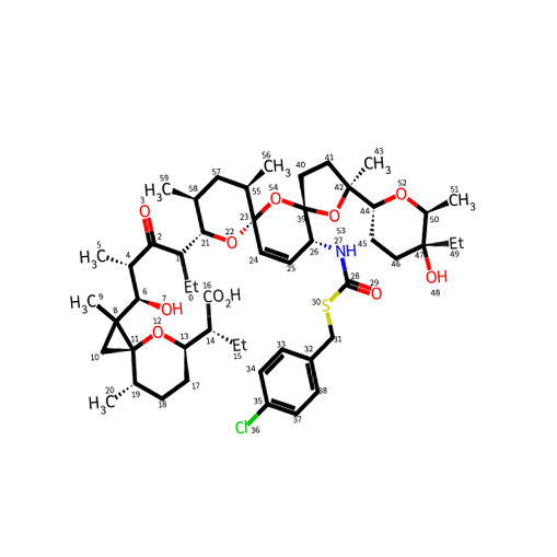 CCC(C(=O)[C@@H](C)[C@@H](O)C1(C)C[C@]12O[C@@H]([C@@H](CC)C(=O)O)CC[C@@H]2C)[C@H]1O[C@]2(C=C[C@@H](NC(=O)SCc3ccc(Cl)cc3)[C@]3(CC[C@@](C)([C@H]4CC[C@](O)(CC)[C@H](C)O4)O3)O2)[C@H](C)C[C@@H]1C